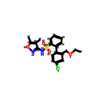 CCOCc1cc(Cl)ccc1-c1ccccc1S(=O)(=O)Nc1noc(C)c1C